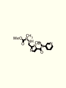 CCN(C(=O)c1cnc(CNN(C)C(=O)OC)n1C)c1cccnc1